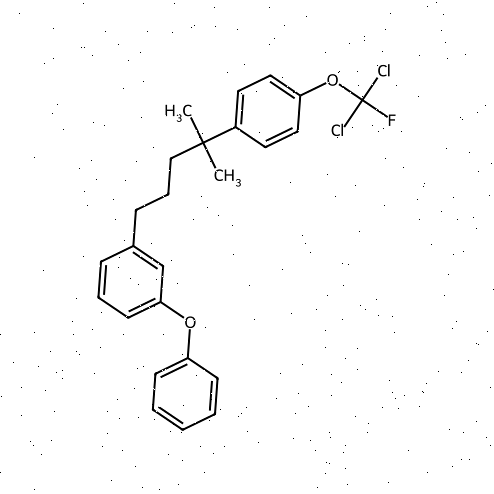 CC(C)(CCCc1cccc(Oc2ccccc2)c1)c1ccc(OC(F)(Cl)Cl)cc1